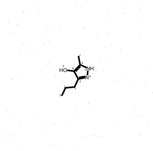 CCCc1n[nH]c(C)c1O